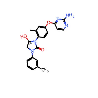 Cc1cc(Oc2ccnc(N)n2)ccc1N1C(=O)N(c2cccc(C(F)(F)F)c2)C[C@H]1O